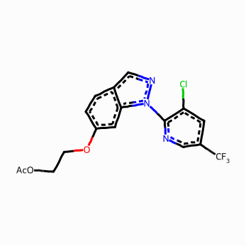 CC(=O)OCCOc1ccc2cnn(-c3ncc(C(F)(F)F)cc3Cl)c2c1